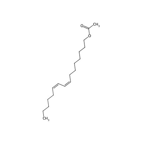 CCCCC/C=C\C=C/CCCCCCCOC(C)=O